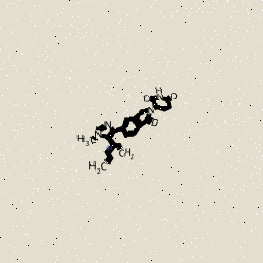 C=C/C=C(\C=C)c1c(-c2ccc3c(c2)CN(C2CCC(=O)NC2=O)C3=O)ncn1C